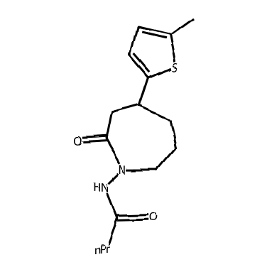 CCCC(=O)NN1CCCC(c2ccc(C)s2)CC1=O